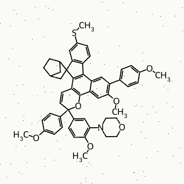 COc1ccc(-c2cc3c4c(c5c(c3cc2OC)OC(c2ccc(OC)cc2)(c2ccc(OC)c(N3CCOCC3)c2)C=C5)C2(CC3CCC2C3)c2cc(SC)ccc2-4)cc1